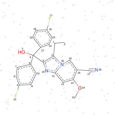 CCc1c(C(O)(c2ccc(F)cc2)c2ccc(F)cc2)nc2cc(OC)c(C#N)cn12